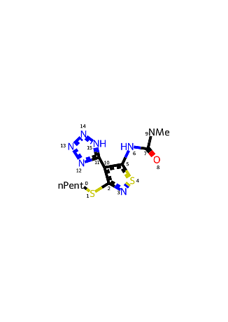 CCCCCSc1nsc(NC(=O)NC)c1-c1nnn[nH]1